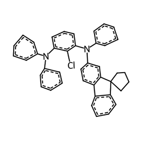 Clc1c(N(c2ccccc2)c2ccccc2)cccc1N(c1ccccc1)c1ccc2c(c1)C1(CCCC1)c1ccccc1-2